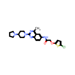 Cc1nc(N2CCC(N3CCCC3)CC2)nc2ccc(NC(=O)COc3ccc(Cl)s3)cc12